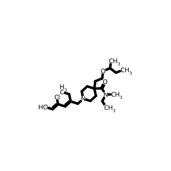 CC/C(=C\C(Cl)=C\O)CN1CCC(CCOC(C)CC)(C(=O)N(C)CC)CC1